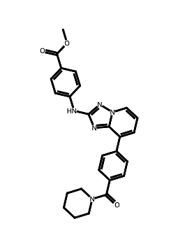 COC(=O)c1ccc(Nc2nc3c(-c4ccc(C(=O)N5CCCCC5)cc4)cccn3n2)cc1